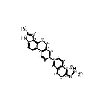 CCC(C)c1nc2c3c(ccc2[nH]1)-c1ccc(-c2ccc4c(c2)CCc2nc(C(C)C)[nH]c2-4)cc1CC3